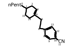 CCCCCC1CC=C(CCc2ccc(C#N)cc2)CC1